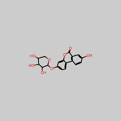 O=c1oc2cc(OC3OCC(O)C(O)C3O)ccc2c2ccc(O)cc12